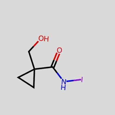 O=C(NI)C1(CO)CC1